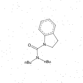 CCCCN(CCCC)C(=O)N1CCc2ccccc21